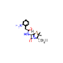 CC1(C)S[C@@H]2[C@H](NC(=O)Cc3ccccc3N)C(=O)N2[C@H]1C(=O)O